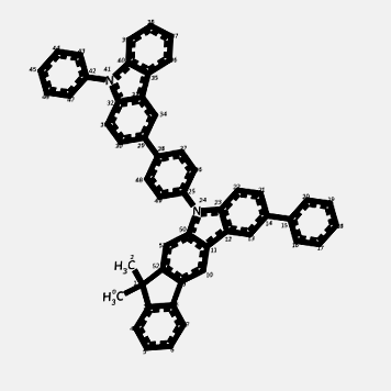 CC1(C)c2ccccc2-c2cc3c4cc(-c5ccccc5)ccc4n(-c4ccc(-c5ccc6c(c5)c5ccccc5n6-c5ccccc5)cc4)c3cc21